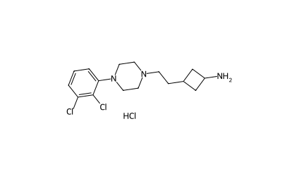 Cl.NC1CC(CCN2CCN(c3cccc(Cl)c3Cl)CC2)C1